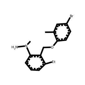 CCc1cccc(N(C)N)c1COc1ccc(Br)cc1C